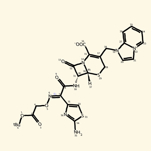 CC(C)(C)OC(=O)CO/N=C(/C(=O)N[C@@H]1C(=O)N2C(C(=O)[O-])=C(Cn3cc[n+]4ccccc34)CS[C@H]12)c1csc(N)n1